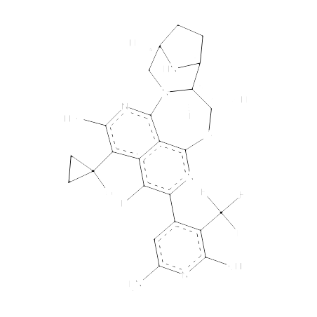 Cc1nc(N)cc(-c2nc3c4c(nc(C)c(C5(O)CC5)c4c2F)N2C[C@H]4CC[C@H](N4)[C@H]2[C@H](C)O3)c1C(F)(F)F